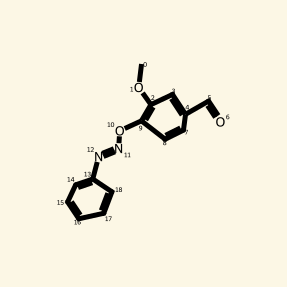 COc1cc(C=O)ccc1ON=Nc1ccccc1